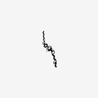 CCCC/C=C/COc1ccc(-c2ncc(OCCCCOCCC)cn2)cc1